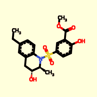 CCc1ccc2c(c1)C[C@@H](O)[C@H](C)N2S(=O)(=O)c1ccc(O)c(C(=O)OC)c1